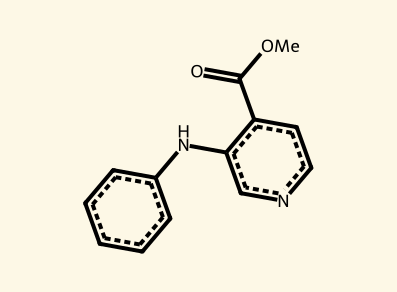 COC(=O)c1ccncc1Nc1ccccc1